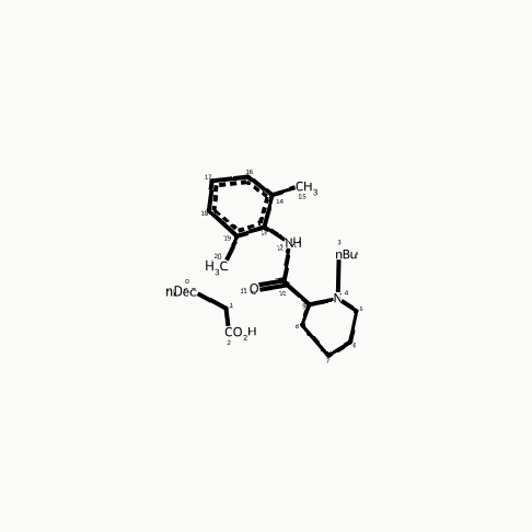 CCCCCCCCCCCC(=O)O.CCCCN1CCCCC1C(=O)Nc1c(C)cccc1C